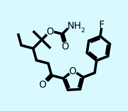 CCC(CCC(=O)c1ccc(Cc2ccc(F)cc2)o1)C(C)(C)OC(N)=O